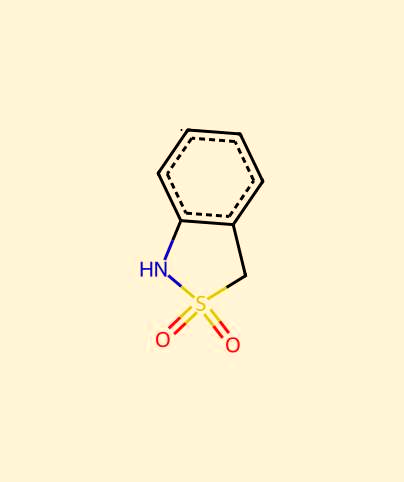 O=S1(=O)Cc2cc[c]cc2N1